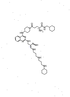 N=N/C(=C\NCCCNCCCNC1CCCCC1)CNc1nc(NC2CCN(C(=O)CC[C@H](N)C(=O)NCC3CCCCC3)CC2)c2ccccc2n1